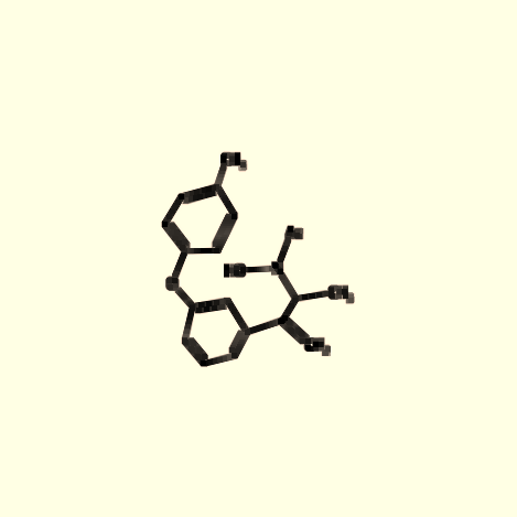 C=C(c1cccc(Oc2ccc(C)cc2)c1)C(C)N(O)C(C)=O